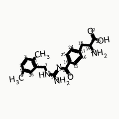 Cc1ccc(C)c(CNC(N)=NC(=O)c2ccc(CC(N)C(=O)O)cc2)c1